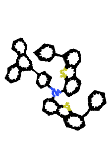 c1ccc(-c2cccc3c2sc2c(N(c4ccc(-c5cc6ccccc6c6ccccc56)cc4)c4cccc5c4sc4c(-c6ccccc6)cccc45)cccc23)cc1